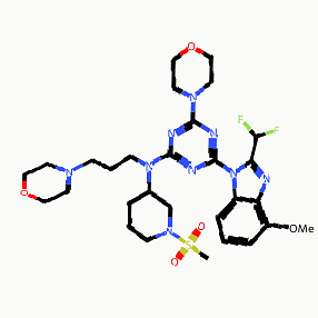 COc1cccc2c1nc(C(F)F)n2-c1nc(N2CCOCC2)nc(N(CCCN2CCOCC2)C2CCCN(S(C)(=O)=O)C2)n1